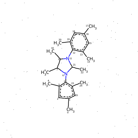 Cc1cc(C)c(N2C(C)C(C)N(c3c(C)cc(C)cc3C)C2C)c(C)c1